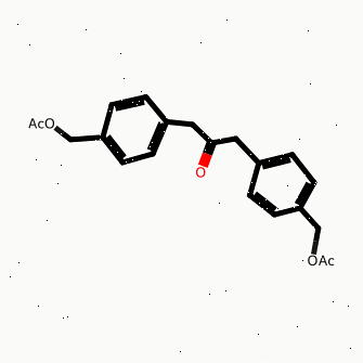 CC(=O)OCc1ccc(CC(=O)Cc2ccc(COC(C)=O)cc2)cc1